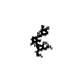 CC(N)/C(=C\C(C#Cc1c(F)ccc(NSc2cnc(Cl)c(Br)c2)c1F)=C/N)CN